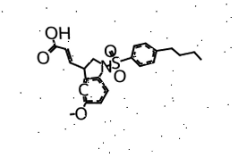 CCCCc1ccc(S(=O)(=O)N2CC(/C=C/C(=O)O)c3cc(OC)ccc32)cc1